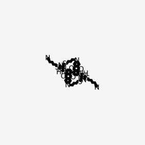 N#CCCCCSc1nc(Nc2ccc(-c3ccc(Nc4nc(SCCCCC#N)nc(SCCCCC#N)n4)c4c3C(=O)c3ccccc3C4=O)c3c2C(=O)c2ccccc2C3=O)nc(SCCCCC#N)n1